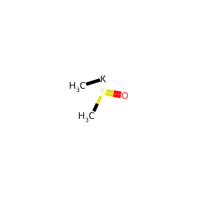 C[S+]=O.[CH3][K]